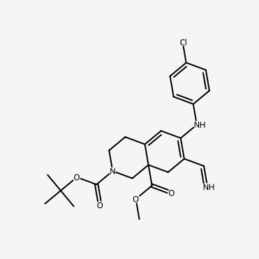 COC(=O)C12CC(C=N)=C(Nc3ccc(Cl)cc3)C=C1CCN(C(=O)OC(C)(C)C)C2